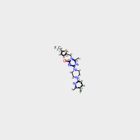 Cc1nc(N2CCN(c3nc(C)n(Cc4ccc(C(F)(F)F)s4)c(=O)n3)CC2)ccc1F